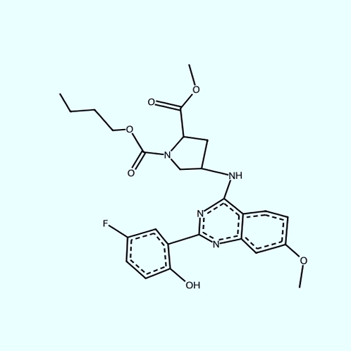 CCCCOC(=O)N1CC(Nc2nc(-c3cc(F)ccc3O)nc3cc(OC)ccc23)CC1C(=O)OC